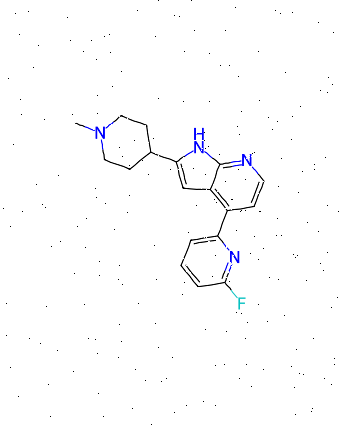 CN1CCC(c2cc3c(-c4cccc(F)n4)ccnc3[nH]2)CC1